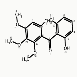 COc1cc(C)c(C(=O)c2c(C)cccc2O)c(OC)c1OC